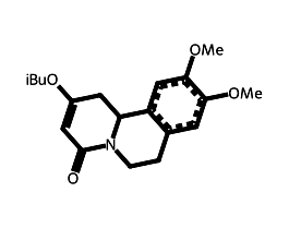 COc1cc2c(cc1OC)C1CC(OCC(C)C)=CC(=O)N1CC2